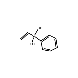 C=C[Si](O)(O)c1ccccc1